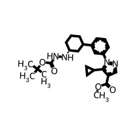 COC(=O)c1cnn(-c2cccc(C3CCC[C@@H](NNC(=O)OC(C)(C)C)C3)c2)c1C1CC1